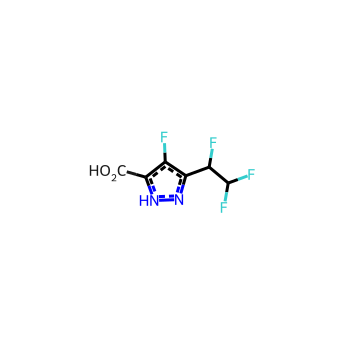 O=C(O)c1[nH]nc(C(F)C(F)F)c1F